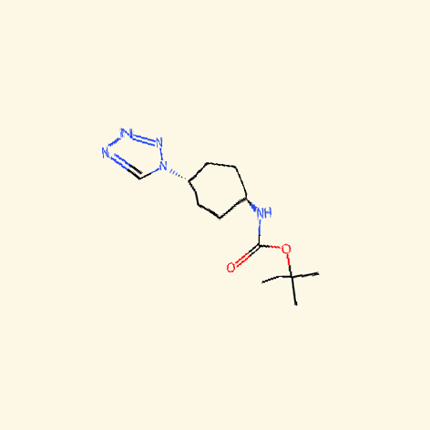 CC(C)(C)OC(=O)N[C@H]1CC[C@H](n2cnnn2)CC1